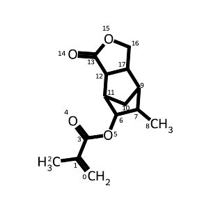 C=C(C)C(=O)OC1C(C)C2CC1C1C(=O)OCC21